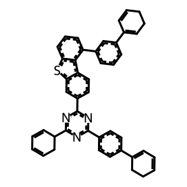 C1=CCCC(c2ccc(-c3nc(-c4ccc5c(c4)sc4cccc(-c6cccc(C7=CCCC=C7)c6)c45)nc(C4C=CC=CC4)n3)cc2)=C1